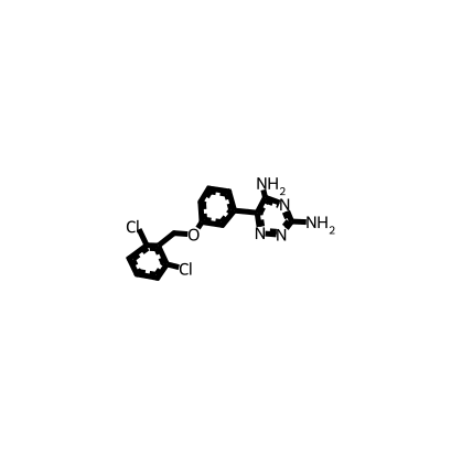 Nc1nnc(-c2cccc(OCc3c(Cl)cccc3Cl)c2)c(N)n1